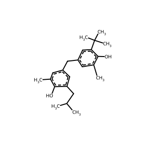 Cc1cc(Cc2cc(C)c(O)c(C(C)(C)C)c2)cc(CC(C)C)c1O